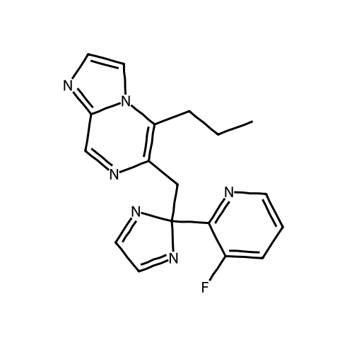 CCCc1c(CC2(c3ncccc3F)N=CC=N2)ncc2nccn12